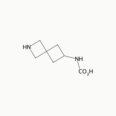 O=C(O)NC1CC2(CNC2)C1